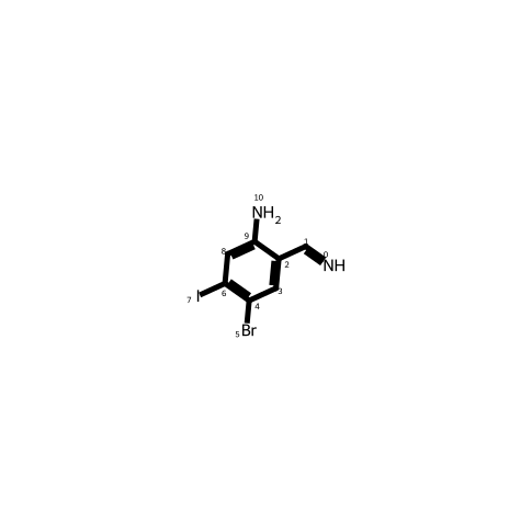 N=Cc1cc(Br)c(I)cc1N